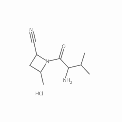 CC(C)C(N)C(=O)N1C(C)CC1C#N.Cl